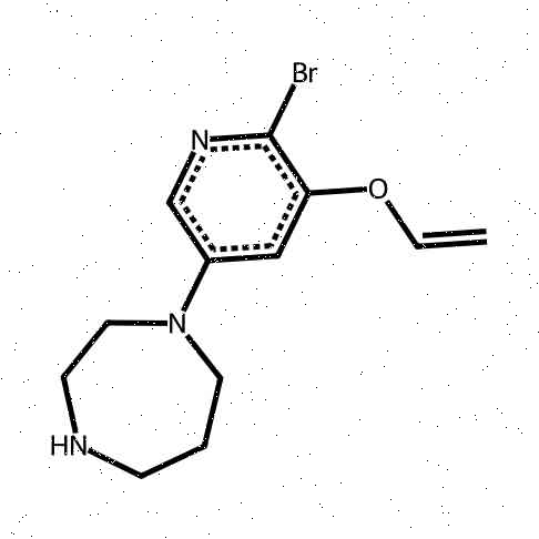 C=COc1cc(N2CCCNCC2)cnc1Br